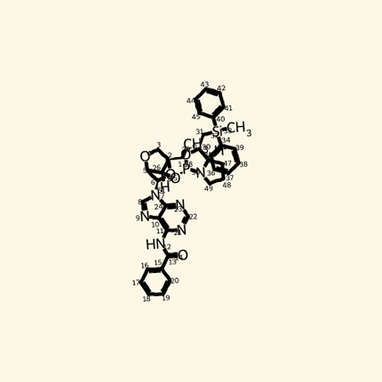 CC[C@@]12COC([C@H](n3cnc4c(NC(=O)c5ccccc5)ncnc43)O1)[C@H]2O[P@]1O[C@@H](C[Si](C)(c2ccccc2)c2ccccc2)[C@H]2CCCN21